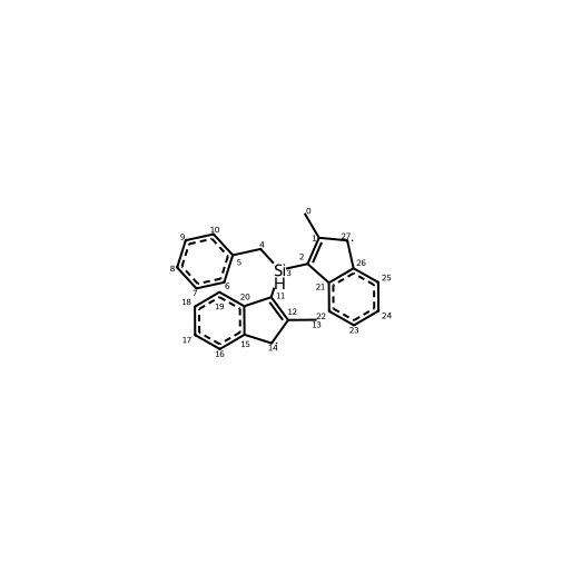 CC1=C([SiH](Cc2ccccc2)C2=C(C)[CH]c3ccccc32)c2ccccc2[CH]1